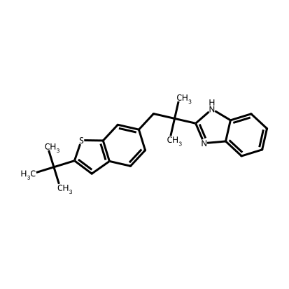 CC(C)(C)c1cc2ccc(CC(C)(C)c3nc4ccccc4[nH]3)cc2s1